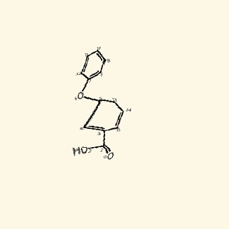 O=C(O)C1=CC(Oc2ccccc2)CC=C1